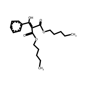 CCCCCOC(=O)C(C(=O)OCCCCC)=C(O)c1ccccc1